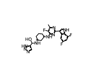 Cc1nc(-c2c[nH]c3c(F)cc(F)cc23)nc(N[C@H]2CCC[C@@H](NC(O)c3cnn[nH]3)C2)c1F